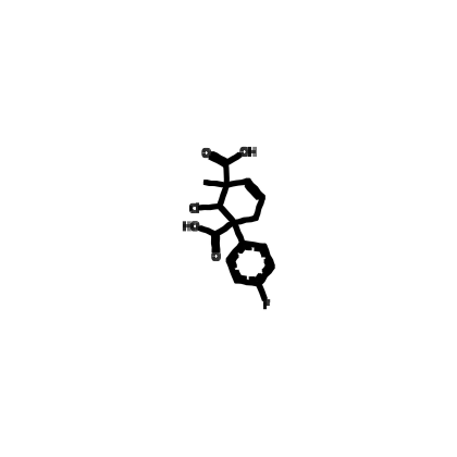 CC1(C(=O)O)C=CCC(C(=O)O)(c2ccc(F)cc2)C1Cl